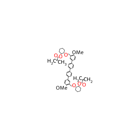 C=C(C)C(=O)OC1CCCCC1OCc1cc(-c2ccc(-c3ccc(-c4ccc(OC)c(COC5CCCCC5OC(=O)C(=C)C)c4)cc3)cc2)ccc1OC